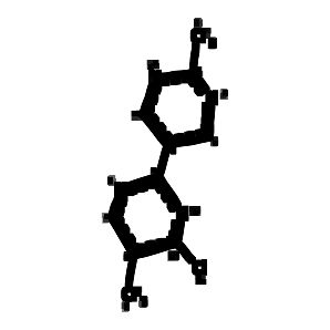 FC(F)(F)c1ncc(-c2ncc(C(F)(F)F)c(Cl)n2)cn1